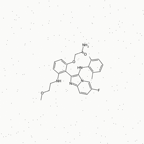 COCCNc1cccc(OCC(N)=O)c1-c1nc2ccc(F)cn2c1Nc1c(C)cccc1C